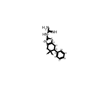 CC1(C)Cc2nc(NC(=N)N)sc2CC1c1ccccc1